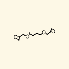 [CH](CCCOCC1CO1)OCC1CO1